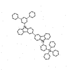 c1ccc(-c2cc(-c3ccccc3)cc(-n3c4ccccc4c4cc(-c5ccc6c(c5)c5ccccc5n6-c5cccc([Si](c6ccccc6)(c6ccccc6)c6ccccc6)c5)ccc43)c2)cc1